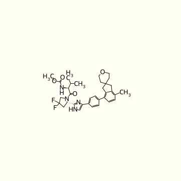 COC(=O)N[C@H](C(=O)N1CC(F)(F)C[C@H]1c1nc(-c2ccc(-c3ccc(C)c4c3CC3(CCOCC3)C4)cc2)c[nH]1)C(C)C